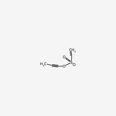 C=CS(=O)(=O)OC#CC